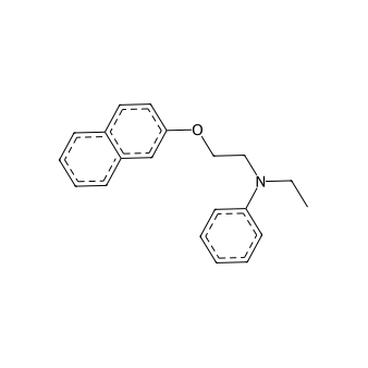 CCN(CCOc1ccc2ccccc2c1)c1ccccc1